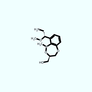 CO[C@H](CN)c1cccc2c1B(C)O[C@H](CO)CO2